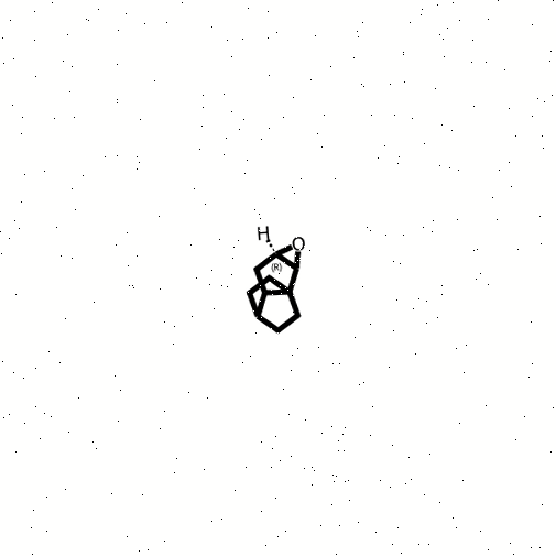 C1CC23CCC1C2C[C@H]1OC13